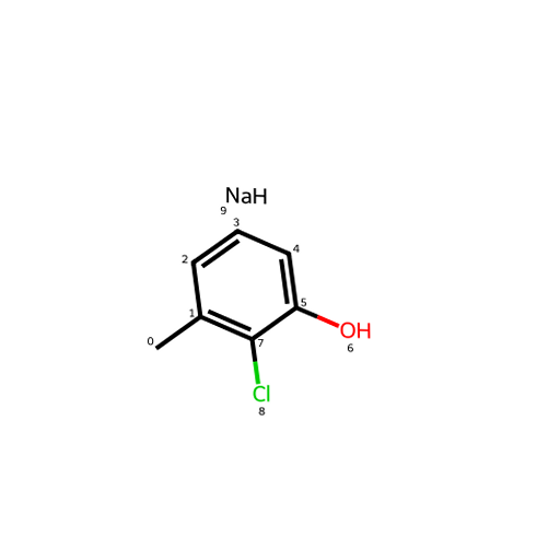 Cc1cccc(O)c1Cl.[NaH]